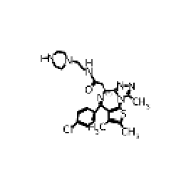 Cc1sc2c(c1C)C(c1ccc(Cl)cc1)=N[C@@H](CC(=O)NCCN1CCN(I)CC1)c1nnc(C)n1-2